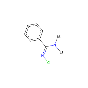 CCN(CC)C(=NCl)c1ccccc1